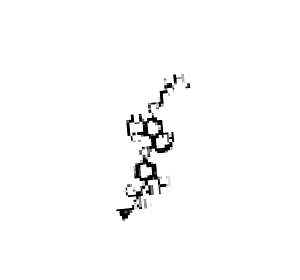 COCCOc1cc2nccc(Oc3ccc(NC(=O)NC4CC4)c(Cl)c3)c2c2c1OCCO2